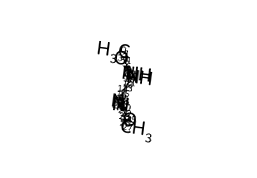 CCC(=O)CCCCN1C=C(CCCCCCc2cn(CCCCC(=O)CC)nn2)NN1